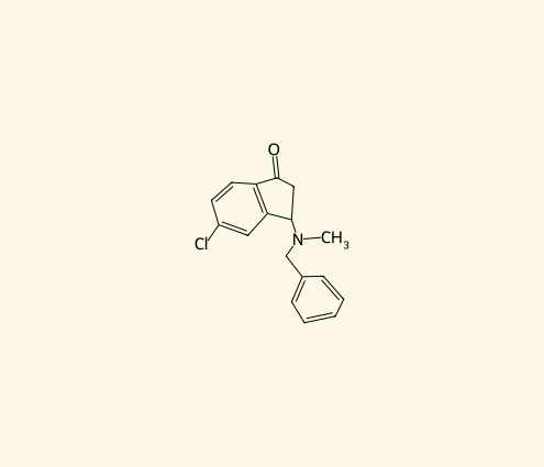 CN(Cc1ccccc1)C1CC(=O)c2ccc(Cl)cc21